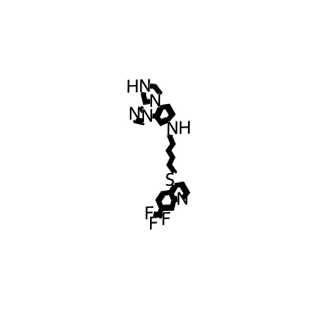 FC(F)(F)c1ccc2c(SCCCCCCNc3ccc(N4CCNCC4)c(-n4ccnc4)c3)ccnc2c1